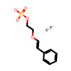 O=P([O-])([O-])OCCOC=Cc1ccccc1.[K+].[K+]